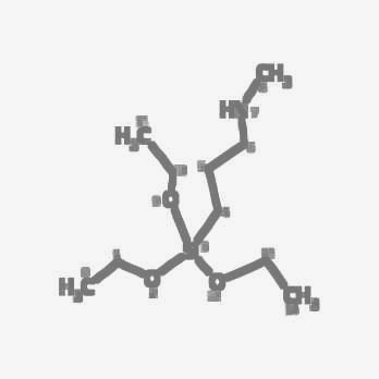 CCO[Si](CCCNC)(OCC)OCC